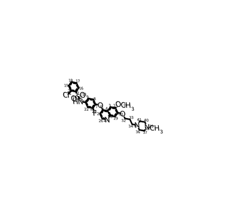 COc1cc2c(Oc3ccc(NS(=O)(=O)c4ccccc4Cl)cc3F)ccnc2cc1OCCCN1CCN(C)CC1